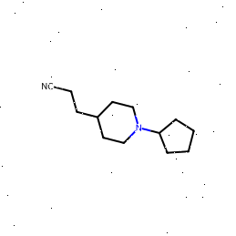 N#CCCC1CCN(C2CCCC2)CC1